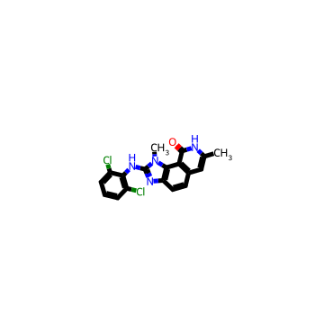 Cc1cc2ccc3nc(Nc4c(Cl)cccc4Cl)n(C)c3c2c(=O)[nH]1